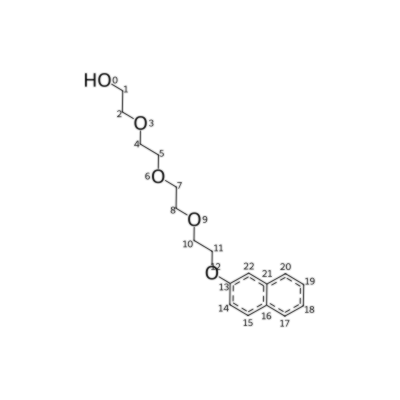 OCCOCCOCCOCCOc1ccc2ccccc2c1